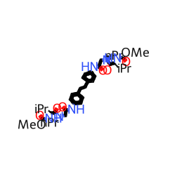 CCCN(CC(=O)Nc1ccc(CCc2ccc(NC(=O)CN(CCC)C(=O)[C@@H](NC(=O)OC)C(C)C)cc2)cc1)C(=O)[C@@H](NC(=O)OC)C(C)C